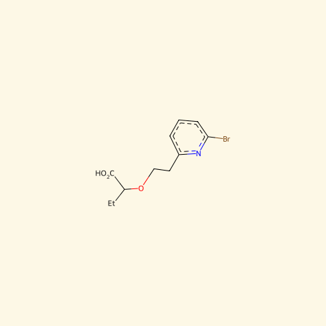 CCC(OCCc1cccc(Br)n1)C(=O)O